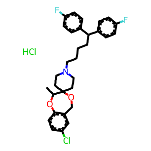 CC1Oc2ccc(Cl)cc2COC12CCN(CCCCC(c1ccc(F)cc1)c1ccc(F)cc1)CC2.Cl